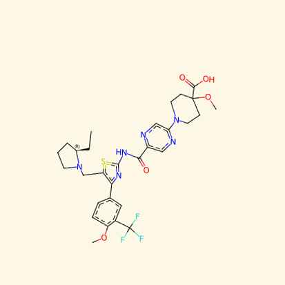 CC[C@@H]1CCCN1Cc1sc(NC(=O)c2cnc(N3CCC(OC)(C(=O)O)CC3)cn2)nc1-c1ccc(OC)c(C(F)(F)F)c1